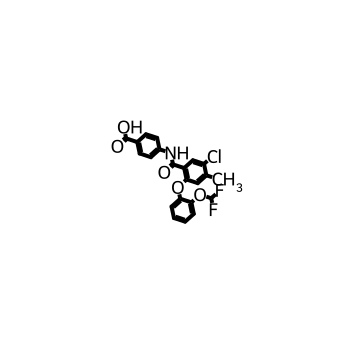 Cc1cc(Oc2ccccc2OC(F)F)c(C(=O)Nc2ccc(C(=O)O)cc2)cc1Cl